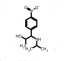 CC(C)NC(c1ccc([N+](=O)[O-])cc1)C(C)O